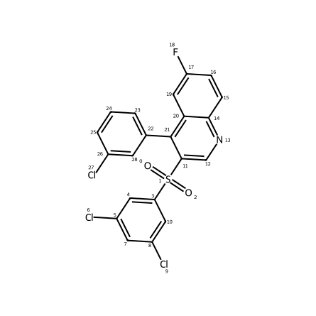 O=S(=O)(c1cc(Cl)cc(Cl)c1)c1cnc2ccc(F)cc2c1-c1cccc(Cl)c1